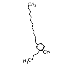 CCCCCCCCCCCCc1ccc(O)c(CCCC)c1